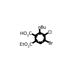 CCCCc1c(Cl)c(Br)cc(C(=O)OCC)c1C(=O)O